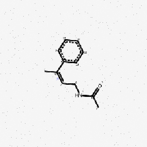 CC(=O)NC/C=C(/C)c1ccccc1